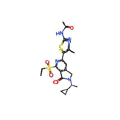 CCS(=O)(=O)c1nc(-c2sc(NC(C)=O)nc2C)cc2c1C(=O)N([C@@H](C)C1CC1)C2